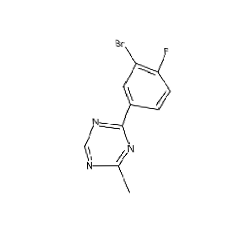 Cc1ncnc(-c2ccc(F)c(Br)c2)n1